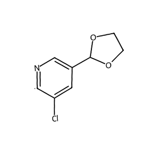 Clc1[c]ncc(C2OCCO2)c1